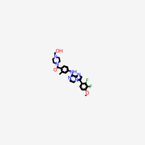 COc1ccc(-c2cnc3c(Nc4ccc(C(=O)N5CCN(CO)CC5)c(C)c4)nccn23)c(F)c1F